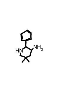 CC1(C)CNC(c2ccccc2)C(N)C1